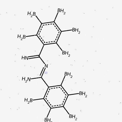 Bc1c(B)c(B)c(C(=N)/N=C(\N)c2c(B)c(B)c(B)c(B)c2B)c(B)c1B